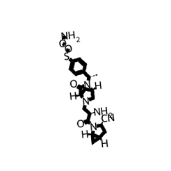 C[C@@H](c1ccc(SOON)cc1)N1C(=O)[C@@H]2C[C@H]1CN2C[C@H](N)C(=O)N1[C@H](C#N)C[C@@H]2C[C@@H]21